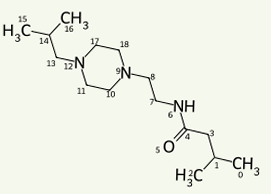 CC(C)CC(=O)NCCN1CCN(CC(C)C)CC1